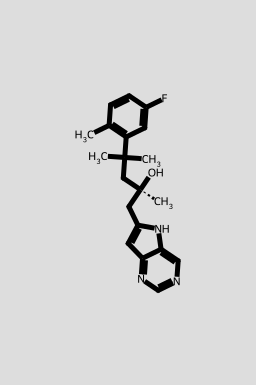 Cc1ccc(F)cc1C(C)(C)C[C@@](C)(O)Cc1cc2ncncc2[nH]1